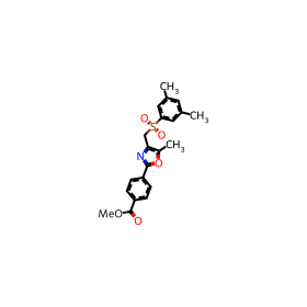 COC(=O)c1ccc(-c2nc(CS(=O)(=O)c3cc(C)cc(C)c3)c(C)o2)cc1